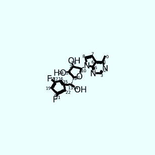 Cc1ncnc2c1ccn2[C@@H]1O[C@H](C(O)c2cc(F)cc(F)c2)[C@@H](O)[C@H]1O